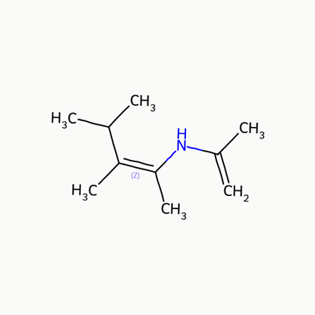 C=C(C)N/C(C)=C(/C)C(C)C